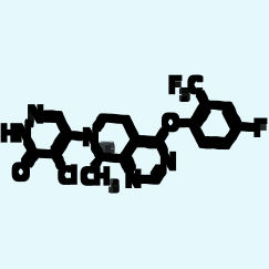 C[C@@H]1c2ncnc(Oc3ccc(F)cc3C(F)(F)F)c2CCN1c1cn[nH]c(=O)c1Cl